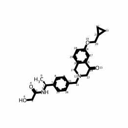 C[C@H](NC(=O)CO)c1ccc(CN2CC(=O)c3cc(OCC4CC4)ccc3C2)cc1